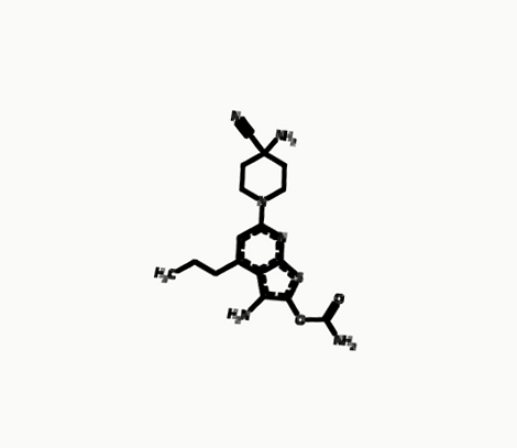 CCCc1cc(N2CCC(N)(C#N)CC2)nc2sc(OC(N)=O)c(N)c12